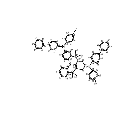 Cc1ccc(N(c2ccc(-c3ccccc3)cc2)c2ccc3c(c2)C(C)(C)C2=CC(N(c4ccc(C)cc4)c4ccc(-c5ccccc5)cc4)CC4=C2N3c2ccccc2C4(C)C)cc1